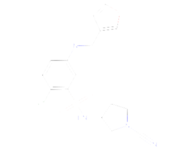 N#CN1CC[C@@H](NS(=O)(=O)c2cc(NCc3ccoc3)ccc2Cl)C1